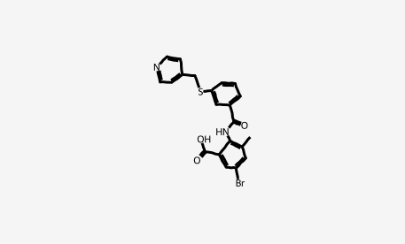 Cc1cc(Br)cc(C(=O)O)c1NC(=O)c1cccc(SCc2ccncc2)c1